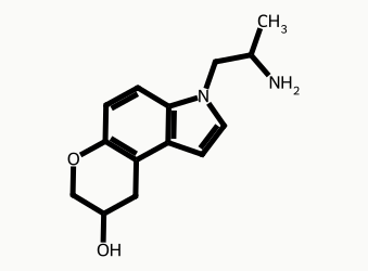 CC(N)Cn1ccc2c3c(ccc21)OCC(O)C3